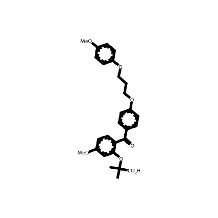 COc1ccc(OCCCOc2ccc(C(=O)c3ccc(OC)cc3OC(C)(C)C(=O)O)cc2)cc1